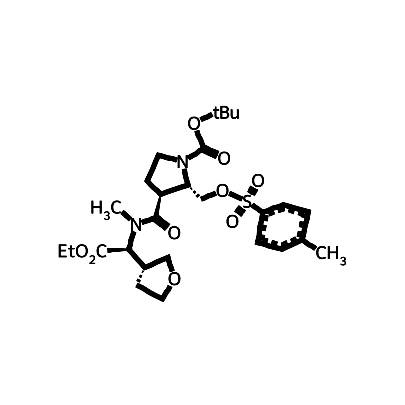 CCOC(=O)[C@H]([C@H]1CCOC1)N(C)C(=O)[C@H]1CCN(C(=O)OC(C)(C)C)[C@@H]1COS(=O)(=O)c1ccc(C)cc1